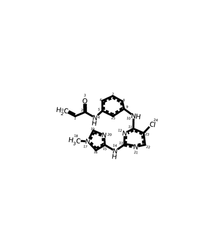 C=CC(=O)Nc1cccc(Nc2nc(Nc3cn(C)cn3)ncc2Cl)c1